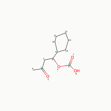 CC(=O)CC(OC(=O)O)C1CCCCC1